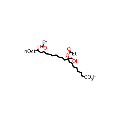 CCCCCCCCC(CCCCCCCCCC(CO)(CCCCCCCC(=O)O)OC(=O)CC)OC(=O)CC